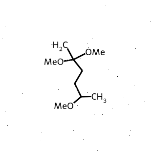 [CH2]C(CCC(C)OC)(OC)OC